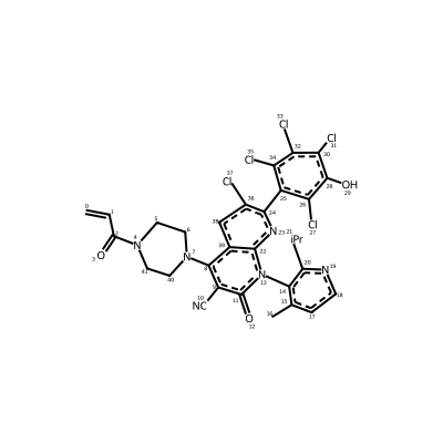 C=CC(=O)N1CCN(c2c(C#N)c(=O)n(-c3c(C)ccnc3C(C)C)c3nc(-c4c(Cl)c(O)c(Cl)c(Cl)c4Cl)c(Cl)cc23)CC1